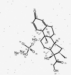 C[C@@H]1C[C@H]2[C@@H]3CCC4=CC(=O)C=C[C@]4(C)[C@@]3(F)[C@@H](O)C[C@]2(C)[C@@]1(O)C(=O)CO.O=P([O-])([O-])O.[Na+].[Na+]